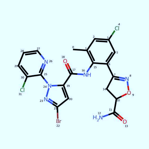 Cc1cc(Cl)cc(C2=NOC(C(N)=O)C2)c1NC(=O)c1cc(Br)nn1-c1ncccc1Cl